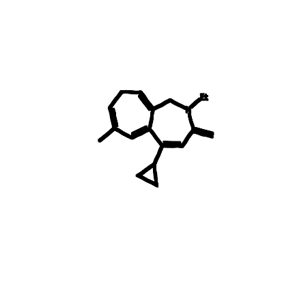 C=C1C=C(C2CC2)C2=CC(C)=CCC=C2CN1CC